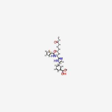 CCC(=O)CCCCC[C@H](NC(=O)c1cccs1)c1ncc(-c2cccc(C(=O)O)c2)[nH]1